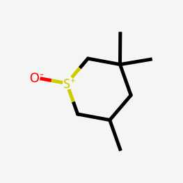 CC1C[S+]([O-])CC(C)(C)C1